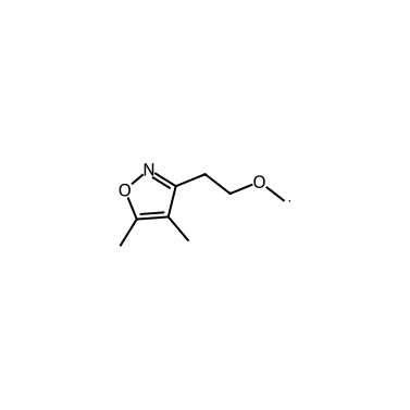 [CH2]OCCc1noc(C)c1C